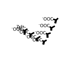 C=C(C)C(=O)[O-].C=C(C)C(=O)[O-].C=C(C)C(=O)[O-].C=C(C)C(=O)[O-].C=C(C)C(=O)[O-].C=C(C)C(=O)[O-].C=C(C)C(=O)[O-].[Al+3].[Zr+4]